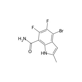 Cc1cc2c(Br)c(F)c(F)c(C(N)=O)c2[nH]1